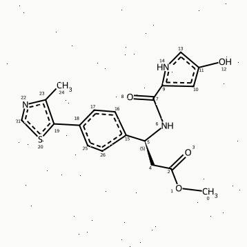 COC(=O)C[C@H](NC(=O)c1cc(O)c[nH]1)c1ccc(-c2scnc2C)cc1